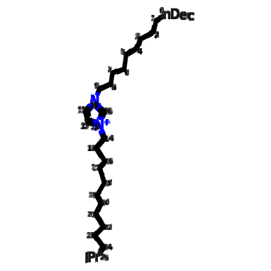 CCCCCCCCCCCCCCCCCCCn1cc[n+](CCCCCCCCCCCC(C)C)c1